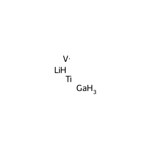 [GaH3].[LiH].[Ti].[V]